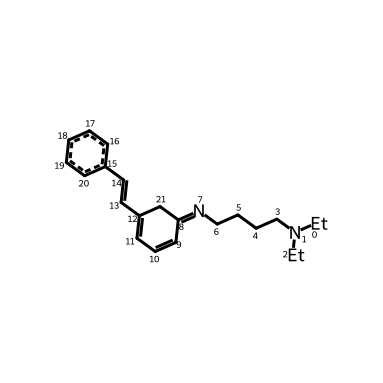 CCN(CC)CCCCN=C1C=CC=C(C=Cc2ccccc2)C1